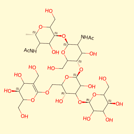 CC(=O)NC1C(O)[C@H](O[C@@H]2OC(COC3=C(CO)C(O)[C@H](O)C(CO)O3)[C@@H](O)C(O[C@H]3OC(CO)[C@@H](O)C(O)C3O)C2O)C(CO)O[C@H]1O[C@@H]1C(CO)O[C@@H](C)C(NC(C)=O)C1O